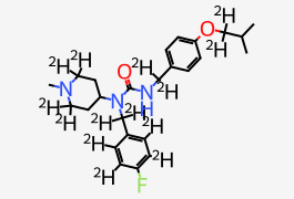 [2H]c1c([2H])c(C([2H])([2H])N(C(=O)NC([2H])([2H])c2ccc(OC([2H])([2H])C(C)C)cc2)C2CC([2H])([2H])N(C)C([2H])([2H])C2)c([2H])c([2H])c1F